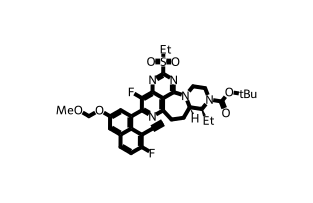 C#Cc1c(F)ccc2cc(OCOC)cc(-c3nc4c5c(nc(S(=O)(=O)CC)nc5c3F)N3CCN(C(=O)OC(C)(C)C)[C@@H](CC)[C@H]3CC4)c12